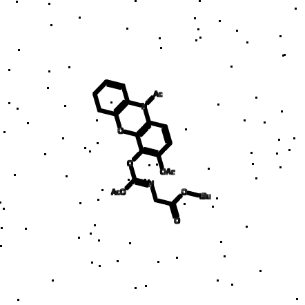 CC(=O)OC(=NCC(=O)OC(C)(C)C)Oc1c(OC(C)=O)ccc2c1OC1=C(C=CCC1)N2C(C)=O